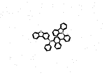 c1ccc(N(c2ccc3sc4ccccc4c3c2)c2ccc(-c3ccccc3-n3c4ccccc4c4ccccc43)c3ccccc23)cc1